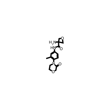 Cc1cc(NC(=O)C2(N)COC2)ccc1N1CCOCC1=O